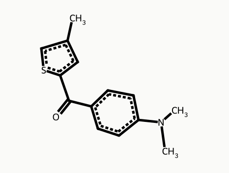 Cc1csc(C(=O)c2ccc(N(C)C)cc2)c1